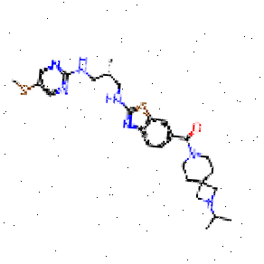 CSc1cnc(NC[C@H](C)CNc2nc3ccc(C(=O)N4CCC5(CC4)CN(C(C)C)C5)cc3s2)nc1